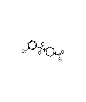 CCC(=O)N1CCN(S(=O)(=O)c2cccc(CC)c2)CC1